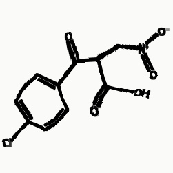 O=C(O)C(C[N+](=O)[O-])C(=O)c1ccc(Cl)cc1